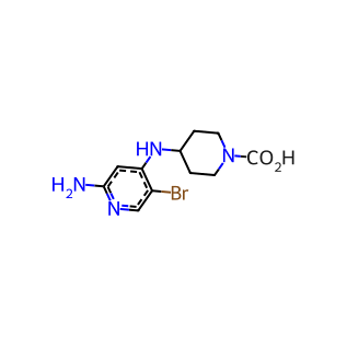 Nc1cc(NC2CCN(C(=O)O)CC2)c(Br)cn1